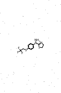 NN(C1=NCCS1)c1ccc(SCC(F)(F)F)cc1